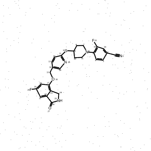 N#Cc1ccc(N2CCC(Sc3ccc(COc4cc(F)cc5c4CNC5=O)cn3)CC2)c(F)c1